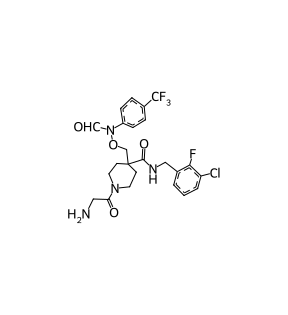 NCC(=O)N1CCC(CON(C=O)c2ccc(C(F)(F)F)cc2)(C(=O)NCc2cccc(Cl)c2F)CC1